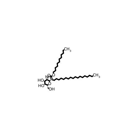 CCCCCCCCCCCCCCCCCCN(C(=O)OCCCCCCCCCCCC)[C@@H]1O[C@H](CO)[C@H](O)[C@H](O)[C@H]1N